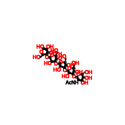 CC(=O)N[C@H]1[C@H](O[C@H]2[C@@H](O)[C@@H](CO)O[C@H](O[C@H]3[C@@H](O)[C@@H](CO)O[C@H](O[C@H]4[C@@H](O)[C@@H](CO)O[C@@H](O[C@H]5[C@H](O)[C@@H](O)[C@H](O)O[C@@H]5CO)[C@@H]4O)[C@@H]3O)[C@@H]2O)O[C@H](CO)[C@H](O)[C@@H]1O